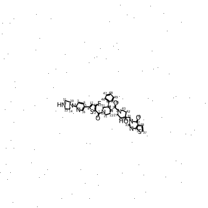 O=C(c1sc(-c2ccc(N3CCNCC3)nc2)cc1F)N1CC[C@@H](C(=O)N2CCC(O)(Cn3cnc4sccc4c3=O)CC2)[C@H](c2ccccc2)C1